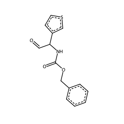 O=CC(NC(=O)OCc1ccccc1)c1ccsc1